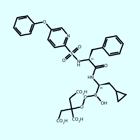 O=C(O)CC(CC(=O)O)(OOB(O)[C@H](CC1CC1)NC(=O)[C@H](Cc1ccccc1)NS(=O)(=O)c1ccc(Oc2ccccc2)cn1)C(=O)O